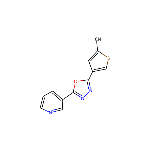 N#Cc1cc(-c2nnc(-c3cccnc3)o2)cs1